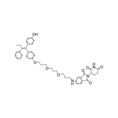 CCC(=C(c1ccc(O)cc1)c1ccc(OCCCOCCCOCCCNc2ccc3c(c2)C(=O)N(C2CCC(=O)NC2=O)C3=O)cc1)c1ccccc1